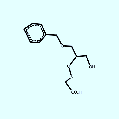 O=C(O)CSOC(CO)COCc1ccccc1